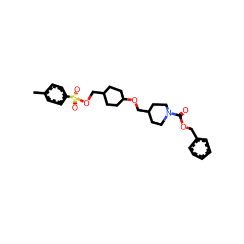 Cc1ccc(S(=O)(=O)OCC2CCC(OCC3CCN(C(=O)OCc4ccccc4)CC3)CC2)cc1